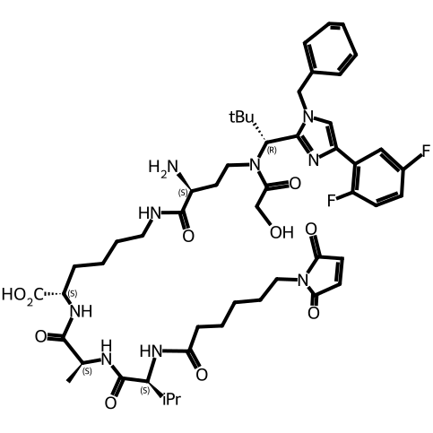 CC(C)[C@H](NC(=O)CCCCCN1C(=O)C=CC1=O)C(=O)N[C@@H](C)C(=O)N[C@@H](CCCCNC(=O)[C@@H](N)CCN(C(=O)CO)[C@@H](c1nc(-c2cc(F)ccc2F)cn1Cc1ccccc1)C(C)(C)C)C(=O)O